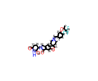 CC(Oc1cccc(CN2CCC3(CC2)COc2cc4c(cc23)CN(C2CCC(=O)NC2=O)C4=O)c1)C(F)(F)F